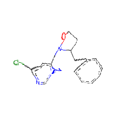 Clc1cc(N2OCCC2c2ccccc2)ncn1